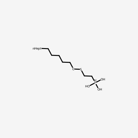 CCCCCCCCCCCCOSCC[PH](O)(O)O